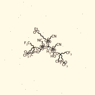 CCC(=O)OCCCCCCOP(=O)(OCCC#N)OCC(C)(COP(=O)(OCCC#N)OC(CO)COCC(CCCNC(=O)C(F)(F)F)(CCCC(F)(F)F)CCCC(F)(F)F)COP(=O)(OCCC#N)OC(CO)COCC(CCCNC(=O)C(F)(F)F)(CCCC(F)(F)F)CCCC(F)(F)F